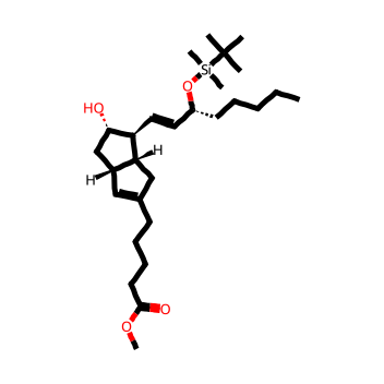 CCCCC[C@H](C=C[C@H]1[C@@H]2CC(CCCCC(=O)OC)=C[C@@H]2C[C@@H]1O)O[Si](C)(C)C(C)(C)C